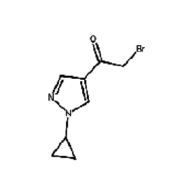 O=C(CBr)c1cnn(C2CC2)c1